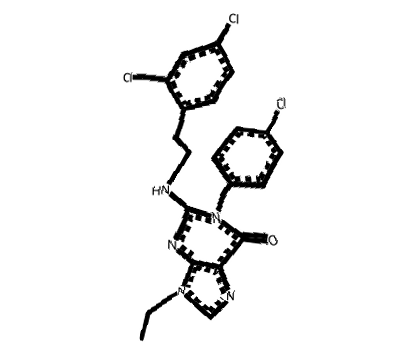 CCn1cnc2c(=O)n(-c3ccc(Cl)cc3)c(NCCc3ccc(Cl)cc3Cl)nc21